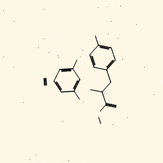 C=O.COC(=O)C(Cl)Cc1ccc(Cl)cc1.Oc1cccc(O)c1